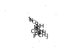 CP(C)c1cc(F)ccc1Nc1nc(Nc2ccc3c(c2)CCC(N2CCC4(CC4)C2)CC3)ncc1Cl